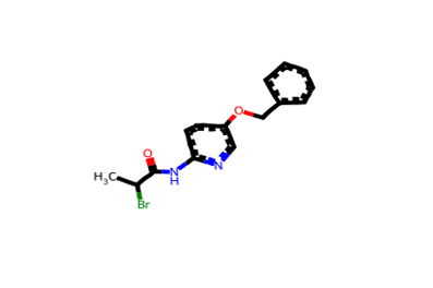 CC(Br)C(=O)Nc1ccc(OCc2ccccc2)cn1